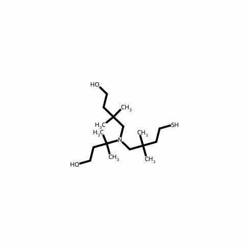 CC(C)(CCO)CN(CC(C)(C)CCS)C(C)(C)CCO